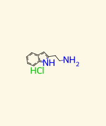 Cl.NCCc1cc2ccccc2[nH]1